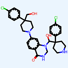 O=C1NCN(C(O)C2(c3ccc(Cl)cc3)CCNCC2)c2cc(N3CCC(CO)(c4ccc(Cl)cc4)CC3)ccc21